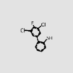 Fc1c(Cl)cc(-c2ccccc2S)cc1Cl